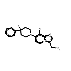 FC(F)(F)Cc1cnc2c(Cl)c(N3CCC(F)(c4ccccc4)CC3)ccn12